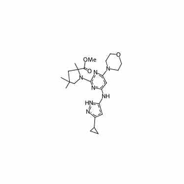 COC(=O)C1(C)CC(C)(C)CN1c1nc(Nc2cc(C3CC3)n[nH]2)cc(N2CCOCC2)n1